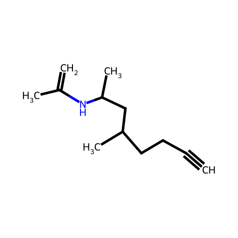 C#CCCC(C)CC(C)NC(=C)C